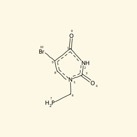 O=c1[nH]c(=O)n(CP)cc1Br